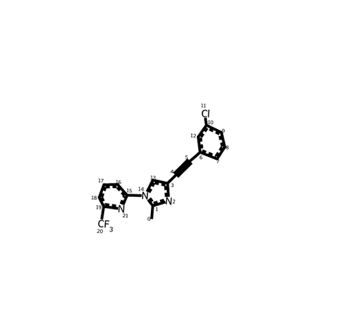 Cc1nc(C#Cc2cccc(Cl)c2)cn1-c1cccc(C(F)(F)F)n1